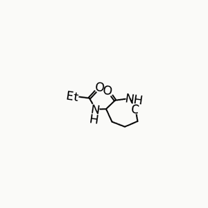 CCC(=O)NC1CCCCNC1=O